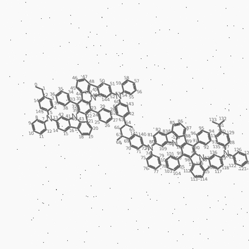 CCc1ccc(N(c2ccccc2)c2ccc3c4cccc5c6c(-c7ccccc7)c7c(c(-c8ccccc8)c6n(c3c2)c45)c2cccc3c4ccc(N(c5ccccc5)c5ccc(C(C)CC(C)c6ccc(N(c8ccccc8)c8ccc9c%10cccc%11c%12c(-c%13ccccc%13)c%13c(c(-c%14ccccc%14)c%12n(c9c8)c%10%11)c8cccc9c%10ccc(N(c%11ccccc%11)c%11ccc(C(C)C)cc%11)cc%10n%13c98)cc6)cc5)cc4n7c32)cc1